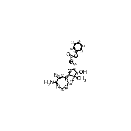 CC1(F)[C@@H](O)[C@@H](CO[PH](=O)Oc2ccccc2)O[C@H]1N1/C=C(F)\C(N)=N/COC1